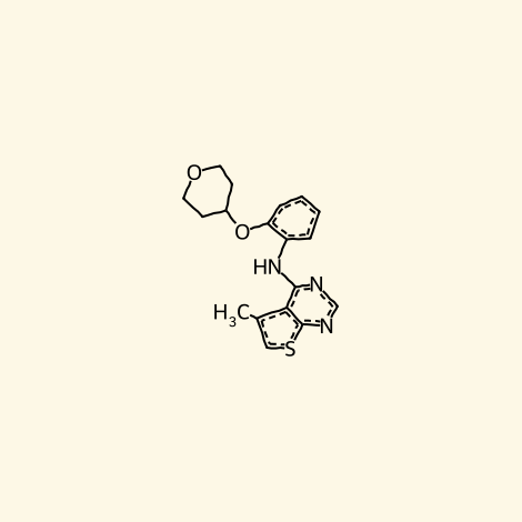 Cc1csc2ncnc(Nc3ccccc3OC3CCOCC3)c12